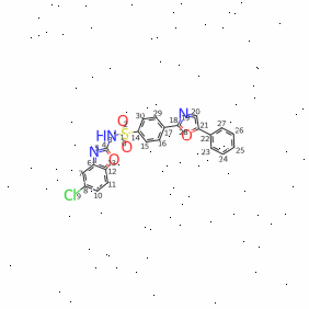 O=S(=O)(Nc1nc2cc(Cl)ccc2o1)c1ccc(-c2ncc(-c3ccccc3)o2)cc1